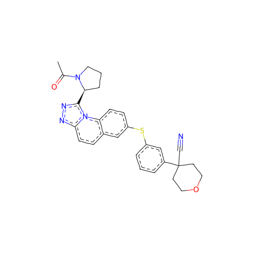 CC(=O)N1CCC[C@H]1c1nnc2ccc3cc(Sc4cccc(C5(C#N)CCOCC5)c4)ccc3n12